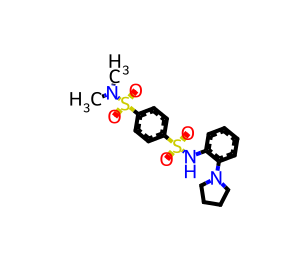 CN(C)S(=O)(=O)c1ccc(S(=O)(=O)Nc2ccccc2N2CCCC2)cc1